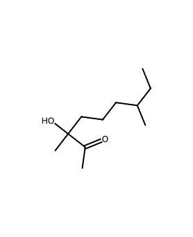 CCC(C)CCCC(C)(O)C(C)=O